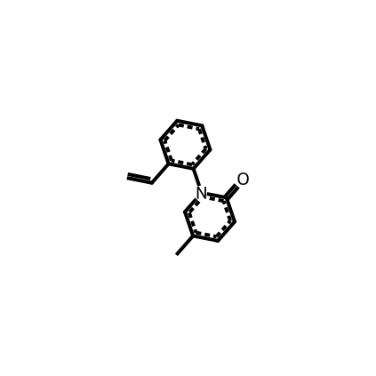 C=Cc1ccccc1-n1cc(C)ccc1=O